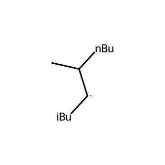 CCCCC(C)[CH]C(C)CC